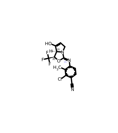 Cc1c(/N=C2\O[C@@H](C(F)(F)F)[C@H]3C(O)=CCN23)ccc(C#N)c1Cl